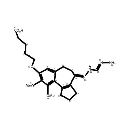 COc1c(OCCCCC(=O)O)cc2c(c1OC)C1=C(CCC1)C(=NNC=NN)CC2